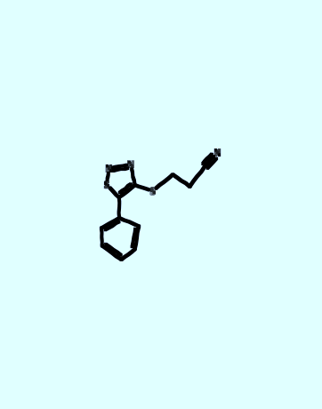 N#CCCSc1nnsc1-c1ccccc1